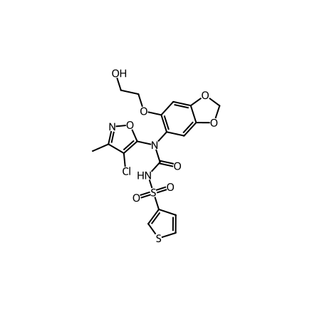 Cc1noc(N(C(=O)NS(=O)(=O)c2ccsc2)c2cc3c(cc2OCCO)OCO3)c1Cl